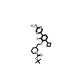 CC(C)(C)OC(=O)N1CCCC(COc2c(C3CCC3)ccc(-c3cnc(N)cn3)c2F)C1